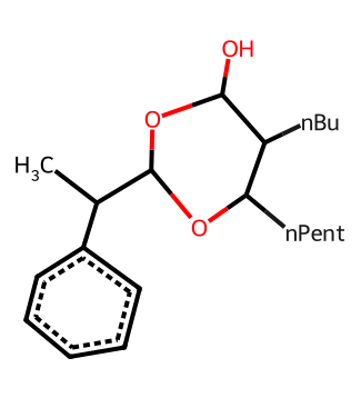 CCCCCC1OC(C(C)c2ccccc2)OC(O)C1CCCC